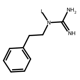 N=C(N)N(I)CCc1ccccc1